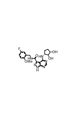 COc1ccc(F)cc1CNC(=O)c1n[nH]c2ncnc(N[C@@H]3CC[C@@H](O)[C@H]3O)c12